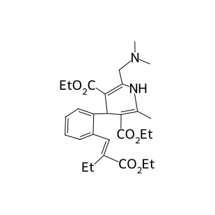 CCOC(=O)C(=Cc1ccccc1C1C(C(=O)OCC)=C(C)NC(CN(C)C)=C1C(=O)OCC)CC